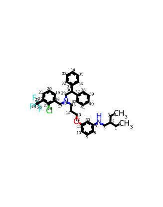 CCC(CC)CNc1cccc(OCCCN(Cc2cccc(C(F)(F)F)c2Cl)CC(c2ccccc2)c2ccccc2)c1